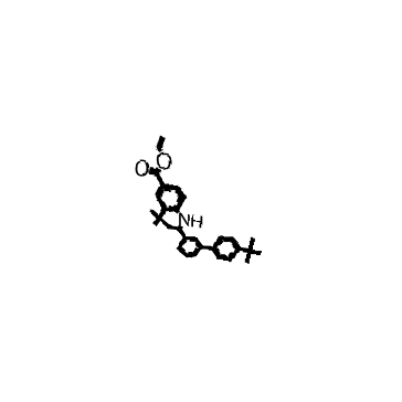 CCOC(=O)c1ccc2c(c1)C(C)(C)CC(c1cccc(-c3ccc(C(C)(C)C)cc3)c1)N2